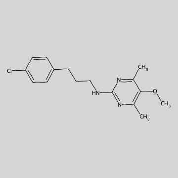 COc1c(C)nc(NCCCc2ccc(Cl)cc2)nc1C